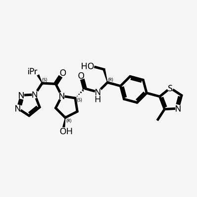 Cc1ncsc1-c1ccc([C@H](CO)NC(=O)[C@@H]2C[C@@H](O)CN2C(=O)[C@H](C(C)C)n2ccnn2)cc1